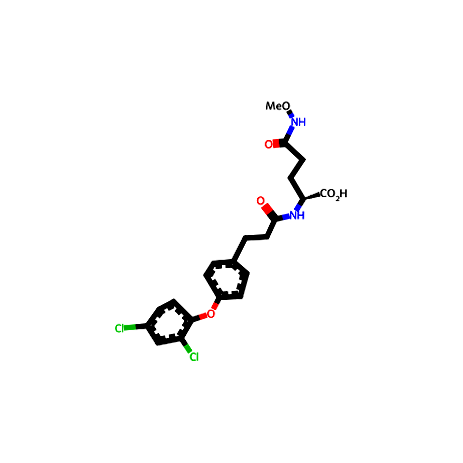 CONC(=O)CC[C@H](NC(=O)CCc1ccc(Oc2ccc(Cl)cc2Cl)cc1)C(=O)O